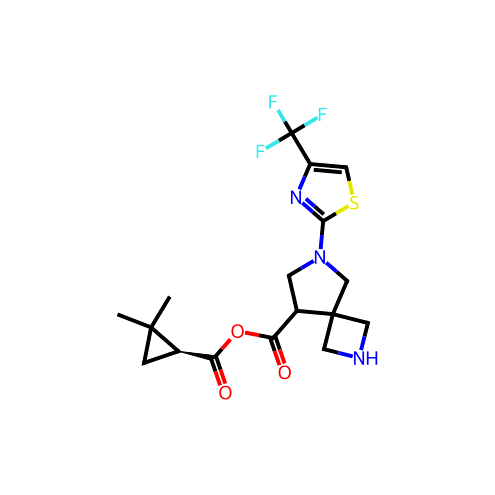 CC1(C)C[C@@H]1C(=O)OC(=O)C1CN(c2nc(C(F)(F)F)cs2)CC12CNC2